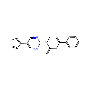 C=C(/C=N\C(N)=C(/C)C(=C)CC(=C)c1ccccc1)C1=CCC=C1